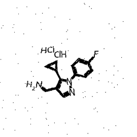 Cl.Cl.NCc1cnn(-c2ccc(F)cc2)c1C1CC1